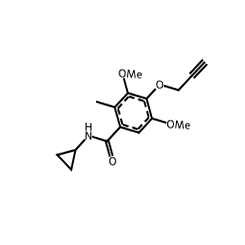 C#CCOc1c(OC)cc(C(=O)NC2CC2)c(C)c1OC